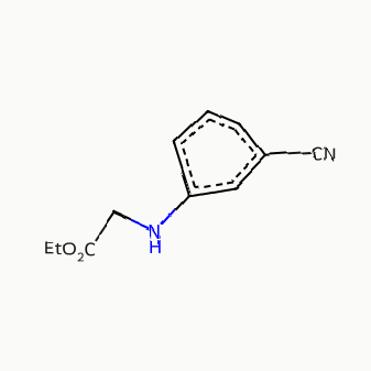 CCOC(=O)CNc1cccc(C#N)c1